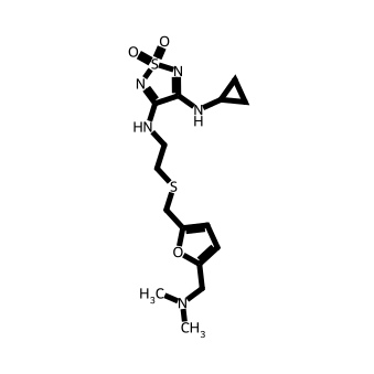 CN(C)Cc1ccc(CSCCNC2=NS(=O)(=O)N=C2NC2CC2)o1